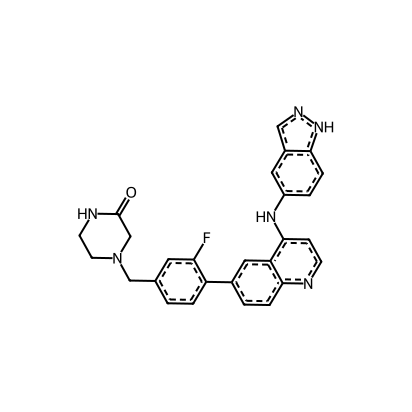 O=C1CN(Cc2ccc(-c3ccc4nccc(Nc5ccc6[nH]ncc6c5)c4c3)c(F)c2)CCN1